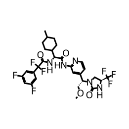 COC[C@H](c1ccnc(NC(=O)[C@@H](NC(=O)C(F)(F)c2cc(F)cc(F)c2)C2CCC(C)CC2)c1)N1C[C@@H](C(F)(F)F)NC1=O